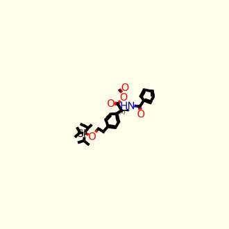 CC(C)[Si](OCCc1ccc([C@H](CNC(=O)c2ccccc2)C(=O)OC=O)cc1)(C(C)C)C(C)C